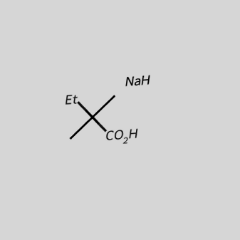 CCC(C)(C)C(=O)O.[NaH]